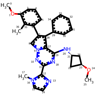 COc1cccc(-c2cn3nc(-c4nccn4C)nc(N[C@H]4C[C@H](OC)C4)c3c2-c2ccccc2)c1C